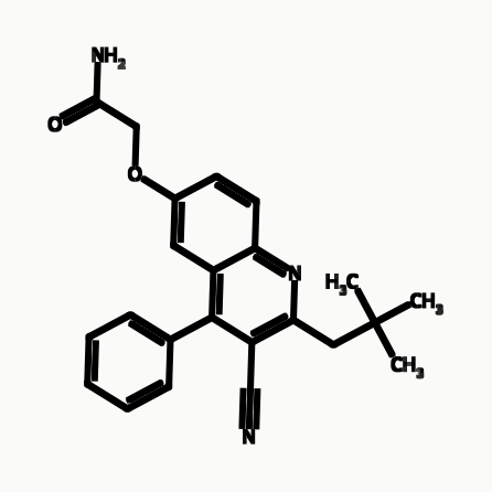 CC(C)(C)Cc1nc2ccc(OCC(N)=O)cc2c(-c2ccccc2)c1C#N